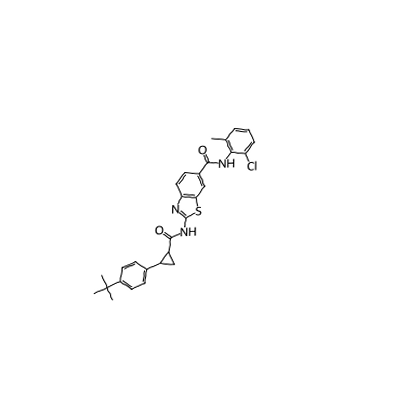 Cc1cccc(Cl)c1NC(=O)c1ccc2nc(NC(=O)C3CC3c3ccc(C(C)(C)C)cc3)sc2c1